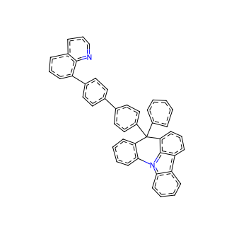 c1ccc(C2(c3ccc(-c4ccc(-c5cccc6cccnc56)cc4)cc3)c3ccccc3-n3c4ccccc4c4cccc2c43)cc1